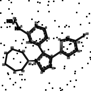 O=C(O)Nc1nccc(-c2c(-c3ccc(F)cc3)ncn2C2CCCCCC2)n1